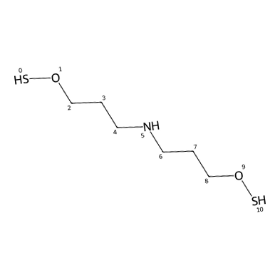 SOCCCNCCCOS